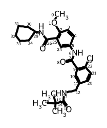 COc1ccc(NC(=O)c2cc(CNC(=O)C(C)(C)C)ccc2Cl)cc1C(=O)NC1CCCCC1